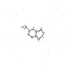 Bc1ccc2nccnc2c1